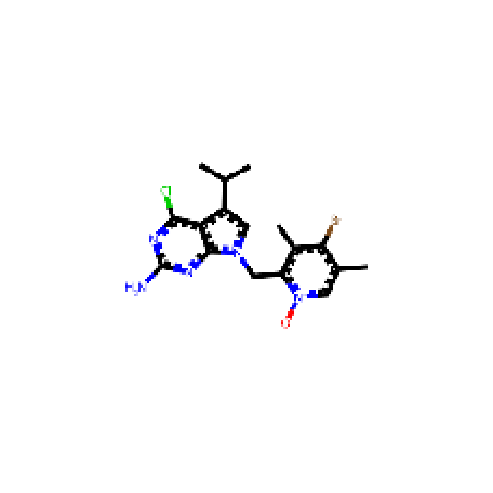 Cc1c[n+]([O-])c(Cn2cc(C(C)C)c3c(Cl)nc(N)nc32)c(C)c1Br